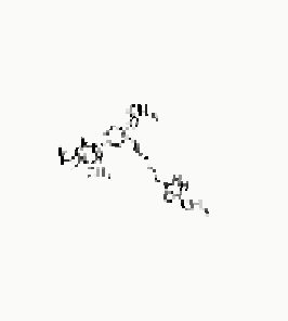 C=NN(/N=C(/C)N)c1ccc(OC)c(/C=C/CCCCc2nnc(C)o2)c1